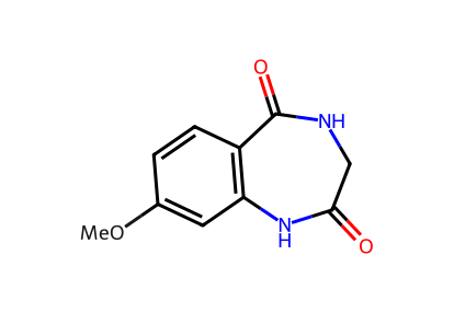 COc1ccc2c(c1)NC(=O)CNC2=O